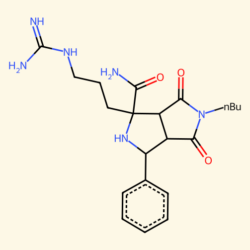 CCCCN1C(=O)C2C(c3ccccc3)NC(CCCNC(=N)N)(C(N)=O)C2C1=O